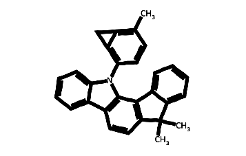 Cc1ccc(-n2c3ccccc3c3ccc4c(c32)-c2ccccc2C4(C)C)c2c1C2